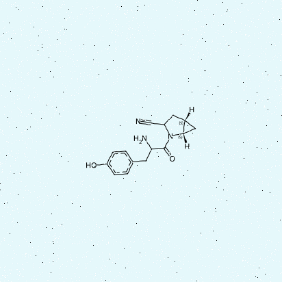 N#CC1C[C@@H]2C[C@@H]2N1C(=O)C(N)Cc1ccc(O)cc1